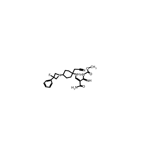 COC(=O)NC(=N)/C(=C\NC1(CC#N)CCC(N2CC(F)(c3ccccc3)C2)CC1)C(N)=O